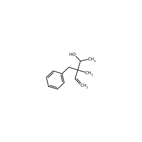 C=CC(C)(Cc1ccccc1)C(C)O